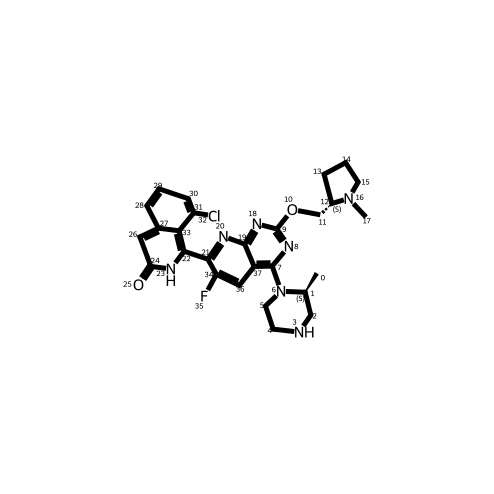 C[C@H]1CNCCN1c1nc(OC[C@@H]2CCCN2C)nc2nc(-c3[nH]c(=O)cc4cccc(Cl)c34)c(F)cc12